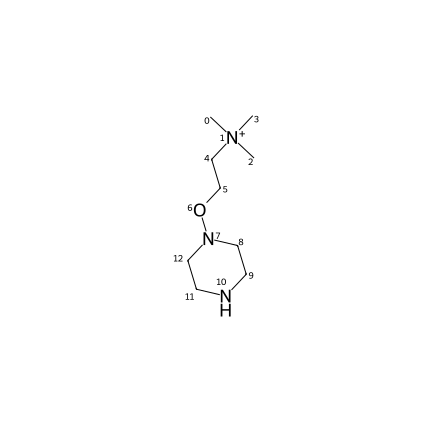 C[N+](C)(C)CCON1CCNCC1